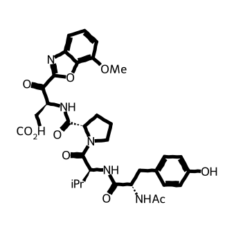 COc1cccc2nc(C(=O)[C@H](CC(=O)O)NC(=O)[C@@H]3CCCN3C(=O)[C@@H](NC(=O)[C@H](Cc3ccc(O)cc3)NC(C)=O)C(C)C)oc12